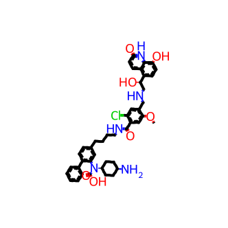 COc1cc(C(=O)NCCCCc2ccc(-c3ccccc3)c(N(C(=O)O)[C@H]3CC[C@H](N)CC3)c2)c(Cl)cc1CNC[C@H](O)c1ccc(O)c2[nH]c(=O)ccc12